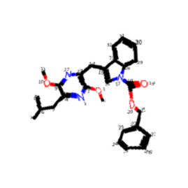 COc1nc(CC(C)C)c(OC)nc1Cc1cn(C(=O)OCc2ccccc2)c2ccccc12